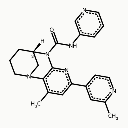 Cc1cc(-c2cc(C)c3c(n2)N(C(=O)Nc2cccnc2)[C@H]2CCCN3C2)ccn1